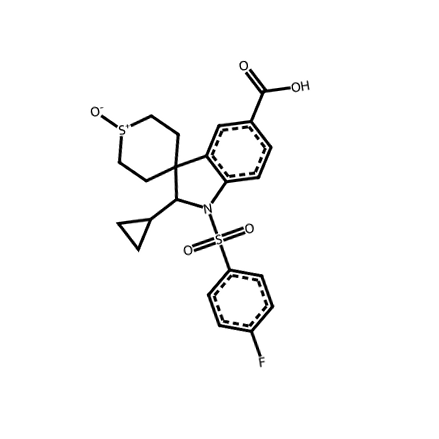 O=C(O)c1ccc2c(c1)C1(CC[S+]([O-])CC1)C(C1CC1)N2S(=O)(=O)c1ccc(F)cc1